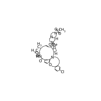 CO[C@]1(CN2CCN3CCN(S(C)(=O)=O)C[C@H]3C2)/C=C/CC(C)[C@@H](C)S(=O)(=O)NC(=O)c2ccc3c(c2)N(CCCCc2cc(Cl)ccc2CO3)C[C@@H]2CC[C@H]21